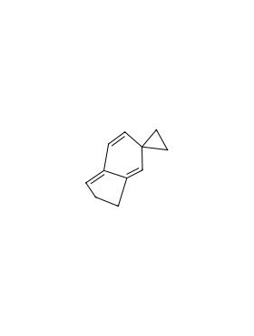 C1=CC2(C=C3CCC=C13)CC2